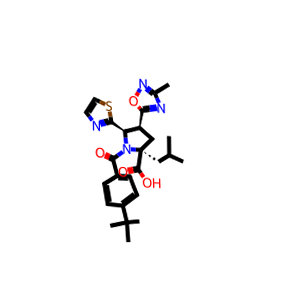 Cc1noc([C@H]2C[C@@](CC(C)C)(C(=O)O)N(C(=O)c3ccc(C(C)(C)C)cc3)[C@H]2c2nccs2)n1